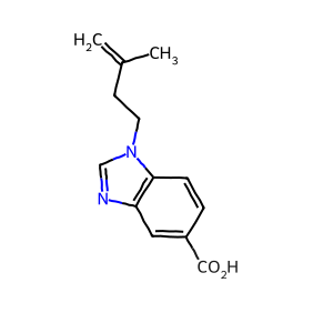 C=C(C)CCn1cnc2cc(C(=O)O)ccc21